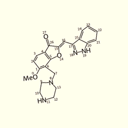 COc1ccc2c(c1CN1CCNCC1)OC(=Cc1n[nH]c3ccccc13)C2=O